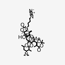 C=C(C(=O)[C@H](C)C[C@@](C)(OC)[C@H](O[C@@H]1OC(C)CC(N(C)C)C1C)[C@@H](C)C1=C(C)C(=O)OC(C)(C)O1)[C@H]1N(CCCCN=[N+]=[N-])C(=O)O[C@]1(C)[C@H](O)CC